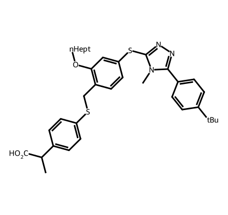 CCCCCCCOc1cc(Sc2nnc(-c3ccc(C(C)(C)C)cc3)n2C)ccc1CSc1ccc(C(C)C(=O)O)cc1